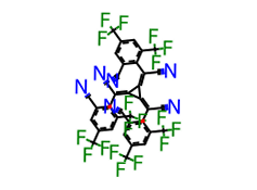 N#CC(=C1C(=C(C#N)c2c(C#N)cc(C(F)(F)F)cc2C(F)(F)F)C1=C(C#N)c1c(C#N)cc(C(F)(F)F)cc1C(F)(F)F)c1c(C#N)cc(C(F)(F)F)cc1C(F)(F)F